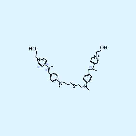 C/C=C(\C=C/NCCO)C(/C)=C/c1ccc(N(C)CCSSCCN(C)c2ccc(/C=C(\C)c3cc[n+](CCO)cc3)cc2)cc1